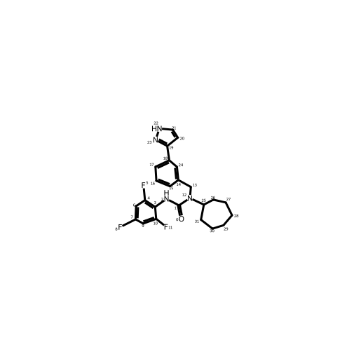 O=C(Nc1c(F)cc(F)cc1F)N(Cc1cccc(-c2cc[nH]n2)c1)C1CCCCCC1